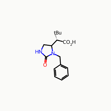 CC(C)(C)[C@H](C(=O)O)C1CNC(=O)N1Cc1ccccc1